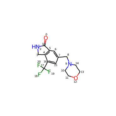 O=C1NCc2c1cc(CN1CCOCC1)cc2C(F)(F)F